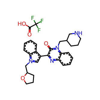 O=C(O)C(F)(F)F.O=c1c(-c2cn(CC3CCCO3)c3ccccc23)nc2ccccc2n1CC1CCCNC1